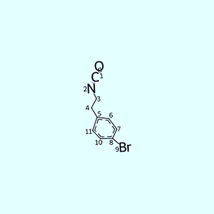 O=C=NCCc1ccc(Br)cc1